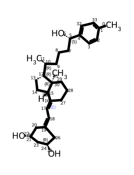 Cc1ccc([C@@H](O)CCC[C@@H](C)[C@H]2CC[C@H]3/C(=C/C=C4C[C@@H](O)C[C@H](O)C4)CCC[C@]23C)cc1